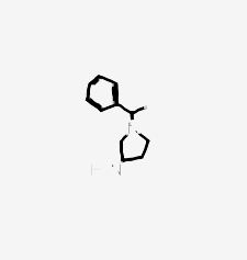 NC1CCN(C(Cl)c2ccccc2)C1